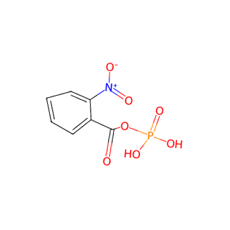 O=C(OP(=O)(O)O)c1ccccc1[N+](=O)[O-]